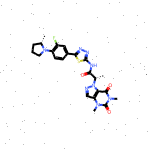 C[C@H]1CCCN1c1ccc(-c2nnc(NC(=O)[C@H](C)n3ncc4c3c(=O)n(C)c(=O)n4C)s2)cc1F